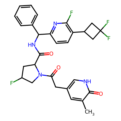 Cc1cc(CC(=O)N2CC(F)CC2C(=O)NC(c2ccccc2)c2ccc(C3CC(F)(F)C3)c(F)n2)c[nH]c1=O